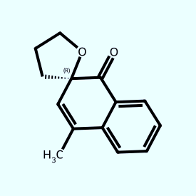 CC1=C[C@]2(CCCO2)C(=O)c2ccccc21